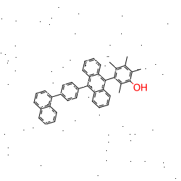 Cc1c(C)c(O)c(C)c(-c2c3ccccc3c(-c3ccc(-c4cccc5ccccc45)cc3)c3ccccc23)c1C